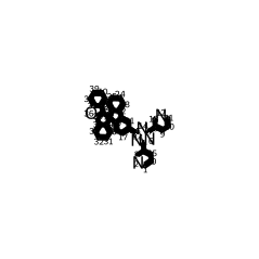 c1cncc(-c2nc(-c3cccnc3)nc(-c3ccc4c(c3)-c3ccccc3C43c4ccccc4-c4oc5ccccc5c43)n2)c1